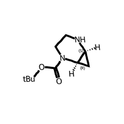 CC(C)(C)OC(=O)N1CCN[C@H]2C[C@H]21